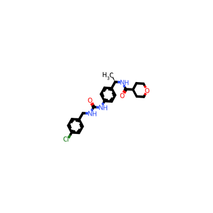 C[C@H](NC(=O)C1CCOCC1)c1ccc(NC(=O)NCc2ccc(Cl)cc2)cc1